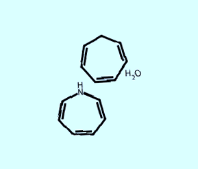 C1=CC=CCC=C1.C1=CC=CNC=C1.O